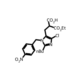 CCCCc1nc(Cl)c(CC(C(=O)O)C(=O)OCC)n1Cc1ccc([N+](=O)[O-])cc1